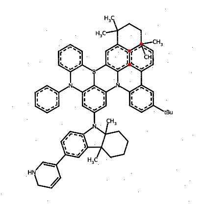 CC(C)(C)c1ccc(N2c3cc4c(cc3B3c5ccccc5N(c5ccccc5)c5cc(N6c7ccc(C8=CNCC=C8)cc7C7(C)CCCCC67C)cc2c53)C(C)(C)CCC4(C)C)c(-c2ccccc2)c1